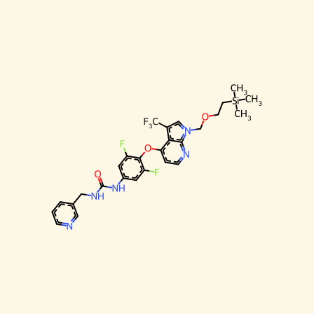 C[Si](C)(C)CCOCn1cc(C(F)(F)F)c2c(Oc3c(F)cc(NC(=O)NCc4cccnc4)cc3F)ccnc21